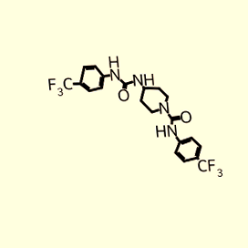 O=C(Nc1ccc(C(F)(F)F)cc1)NC1CCN(C(=O)Nc2ccc(C(F)(F)F)cc2)CC1